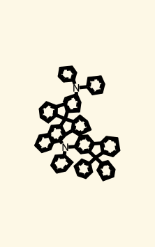 c1ccc(N(c2ccccc2)c2ccc3c(c2)-c2ccccc2C32c3ccccc3-c3c2cc2ccccc2c3N(c2ccccc2)c2ccc3c(c2)C(c2ccccc2)(c2ccccc2)c2ccccc2-3)cc1